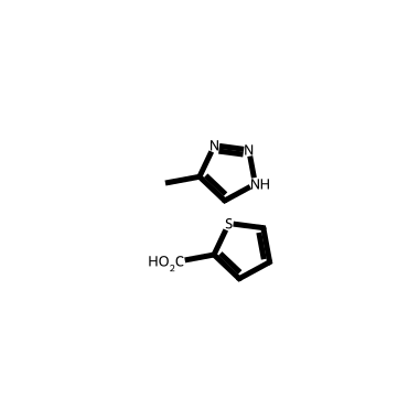 Cc1c[nH]nn1.O=C(O)c1cccs1